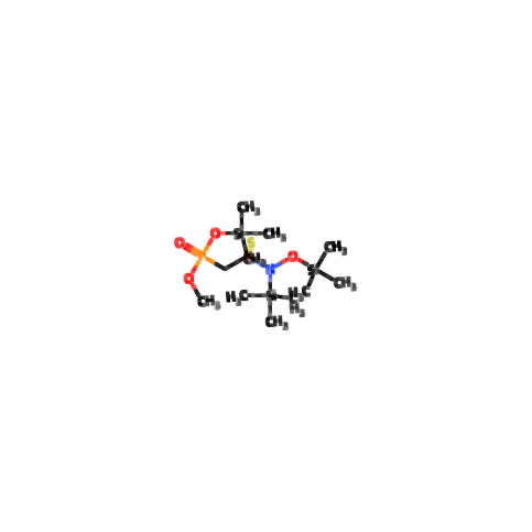 COP(=O)(CC(=S)N(O[Si](C)(C)C)[Si](C)(C)C)O[Si](C)(C)C